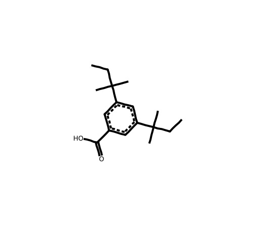 CCC(C)(C)c1cc(C(=O)O)cc(C(C)(C)CC)c1